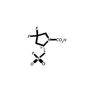 O=C(O)N1CC(F)(F)C[C@H]1CS(=O)(=O)F